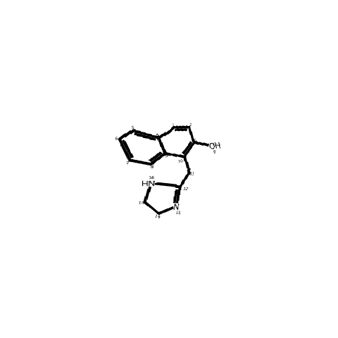 Oc1ccc2ccccc2c1CC1=NCCN1